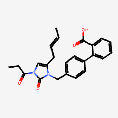 CC=CCc1cn(C(=O)CC)c(=O)n1Cc1ccc(-c2ccccc2C(=O)O)cc1